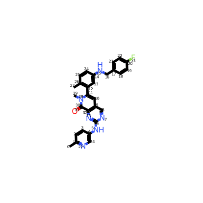 Cc1ccc(Nc2ncc3cc(-c4cc(NCc5ccc(F)cc5)ccc4C)n(C)c(=O)c3n2)cn1